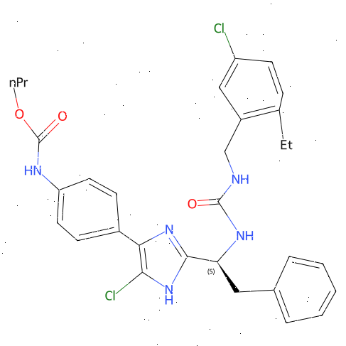 CCCOC(=O)Nc1ccc(-c2nc([C@H](Cc3ccccc3)NC(=O)NCc3cc(Cl)ccc3CC)[nH]c2Cl)cc1